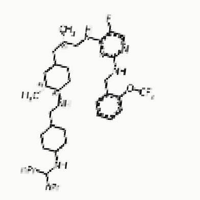 CCCC(CCC)N[C@H]1CC[C@@H](CN[C@@H]2CCC(C[C@H](C)CNc3nc(NCc4ccccc4OC(F)(F)F)ncc3F)C[C@H]2C)CC1